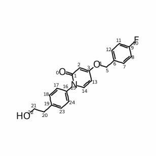 O=c1cc(OCc2ccc(F)cc2)ccn1-c1ccc(CCO)cc1